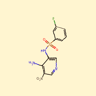 Nc1c(NS(=O)(=O)c2cccc(F)c2)cncc1[N+](=O)[O-]